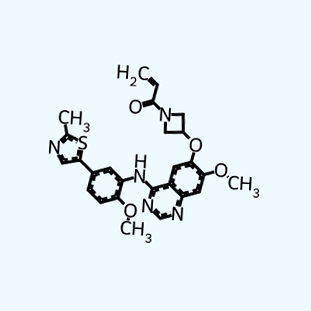 C=CC(=O)N1CC(Oc2cc3c(Nc4cc(-c5cnc(C)s5)ccc4OC)ncnc3cc2OC)C1